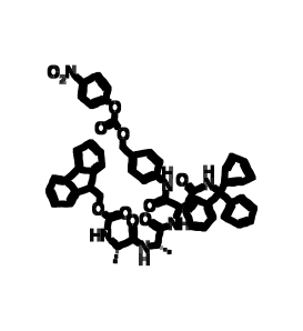 C[C@H](NC(=O)OCC1c2ccccc2-c2ccccc21)C(=O)N[C@@H](C)C(=O)N[C@@H](CC(=O)NC(c1ccccc1)(c1ccccc1)c1ccccc1)C(=O)Nc1ccc(COC(=O)Oc2ccc([N+](=O)[O-])cc2)cc1